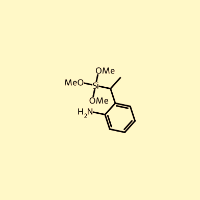 CO[Si](OC)(OC)C(C)c1ccccc1N